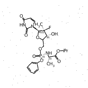 CC(C)OC(=O)[C@H](C)N[P@](=O)(OCC1O[C@@H](n2ccc(=O)[nH]c2=O)[C@@](C)(F)[C@@H]1O)Oc1ccccc1